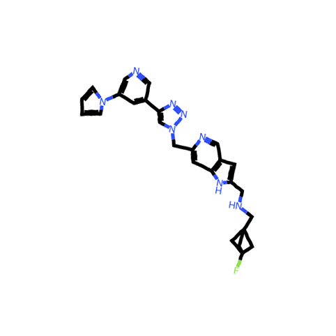 FC12CC(CNCc3cc4cnc(Cn5cc(-c6cncc(-n7cccc7)c6)nn5)cc4[nH]3)(C1)C2